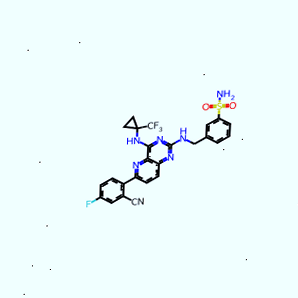 N#Cc1cc(F)ccc1-c1ccc2nc(NCc3cccc(S(N)(=O)=O)c3)nc(NC3(C(F)(F)F)CC3)c2n1